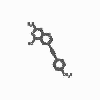 Nc1nc(O)c2cc(C#Cc3ccc(C(=O)O)cc3)cnc2n1